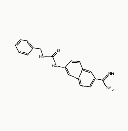 N=C(N)c1ccc2cc(NC(=O)NCc3ccccc3)ccc2c1